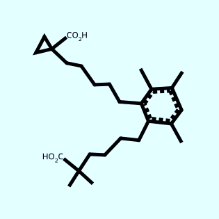 Cc1cc(C)c(CCCCC(C)(C)C(=O)O)c(CCCCCC2(C(=O)O)CC2)c1C